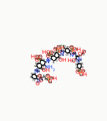 Nc1c(N=Nc2ccc3c(O)c(N=Nc4cc(/N=N/c5c(OC=O)nn(-c6ccc(S(=O)(=O)O)cc6)c5O)c(S(=O)(=O)O)cc4Cl)c(S(=O)(=O)O)cc3c2S(=O)(=O)O)cc(S(=O)(=O)O)c2ccc(N=Nc3cccc([N+](=O)[O-])c3OCCCS(=O)(=O)O)c(O)c12